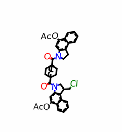 CC(=O)Oc1cc2c(c3ccccc13)CCN2C(=O)C12CCC(C(=O)N3CC(CCl)c4c3cc(OC(C)=O)c3ccccc43)(CC1)CC2